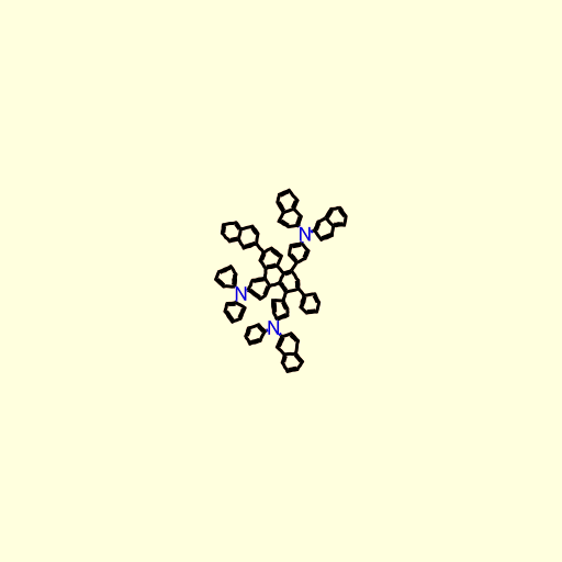 c1ccc(-c2cc(-c3ccc(N(c4ccc5ccccc5c4)c4ccc5ccccc5c4)cc3)c3c4ccc(-c5ccc6ccccc6c5)cc4c4cc(N(c5ccccc5)c5ccccc5)ccc4c3c2-c2ccc(N(c3ccccc3)c3ccc4ccccc4c3)cc2)cc1